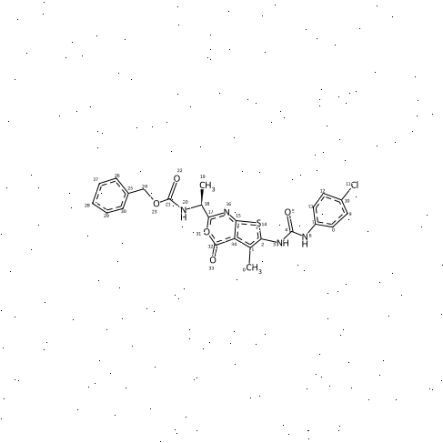 Cc1c(NC(=O)Nc2ccc(Cl)cc2)sc2nc([C@H](C)NC(=O)OCc3ccccc3)oc(=O)c12